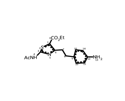 CCOC(=O)c1sc(NC(C)=O)nc1CCc1ccc(N)cc1